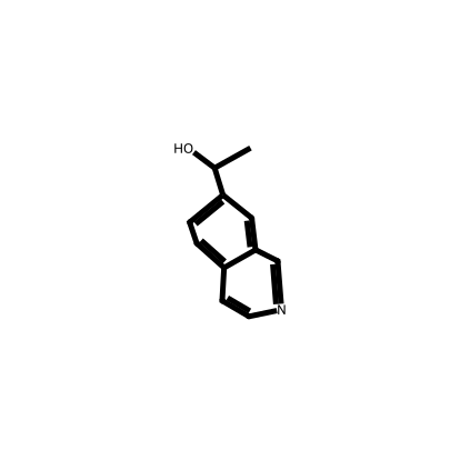 CC(O)c1ccc2ccncc2c1